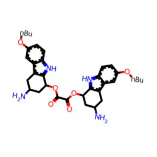 CCCCOc1ccc2[nH]c3c(c2c1)CC(N)CC3OC(=O)C(=O)OC1CC(N)Cc2c1[nH]c1ccc(OCCCC)cc21